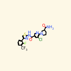 NC(=O)C1CCCN(c2ncc(C(=O)Nc3nc(-c4cccc(C(F)(F)F)c4F)cs3)cc2Cl)C1